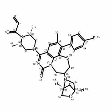 C=CC(=O)N1[C@H](C)CN(c2nc(=O)n3c4c(c(-c5ccc(F)cc5)c(C)cc24)SCC(N2C[C@@H]4C[C@H]2CO4)C3)C[C@@H]1C